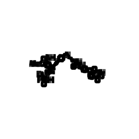 CC[C@@H]1[C@H](F)C(=O)N[C@@H]1COc1ncc(C#CC2CCC(CN(C)CCCNC(=O)NCc3ccc(Oc4cccc5c4C(=O)NC(=O)C5=O)cc3)CC2)c2cc(C(N)=O)c(OC)cc12